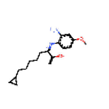 C=C(O)/C(CCCCCC1CC1)=N\c1ccc(OC)cc1N